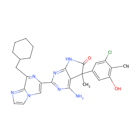 CC1(c2cc(O)c(C#N)c(Cl)c2)C(=O)Nc2nc(-c3cn4ccnc4c(CC4CCCCC4)n3)nc(N)c21